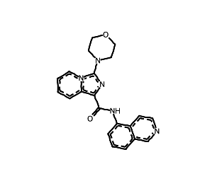 O=C(Nc1cccc2cnccc12)c1nc(N2CCOCC2)n2ccccc12